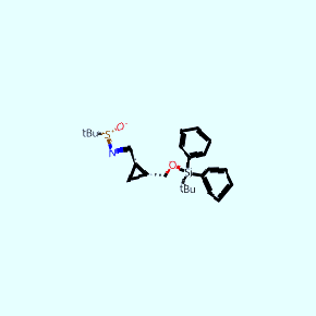 CC(C)(C)[S@@+]([O-])/N=C/[C@@H]1C[C@H]1CO[Si](c1ccccc1)(c1ccccc1)C(C)(C)C